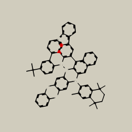 Cc1cc2c(cc1N1c3cc4c(cc3B3c5c1cc1ccccc1c5-c1cc5c(cc1N3c1ccc(C(C)(C)C)cc1-c1ccccc1)sc1ccccc15)Oc1ccccc1O4)C(C)(C)CCC2(C)C